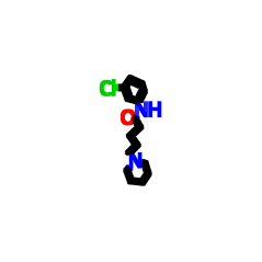 O=C(CCCCN1CCCCC1)Nc1cccc(Cl)c1